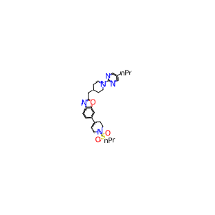 CCCc1cnc(N2CCC(Cc3nc4ccc(C5=CCN(S(=O)(=O)CCC)CC5)cc4o3)CC2)nc1